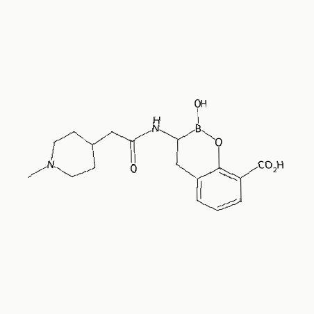 CN1CCC(CC(=O)NC2Cc3cccc(C(=O)O)c3OB2O)CC1